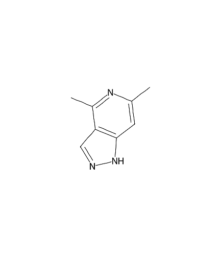 Cc1cc2[nH]ncc2c(C)n1